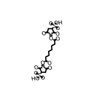 O=C(CCCCCCC(=O)ON1C(=O)CC(S(=O)(=O)O)C1=O)ON1C(=O)CC(S(=O)(=O)O)C1=O